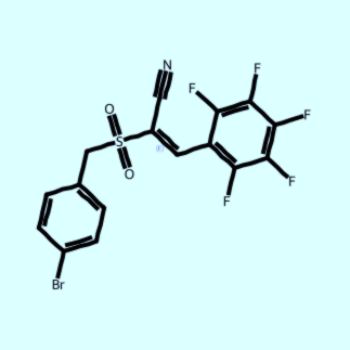 N#C/C(=C\c1c(F)c(F)c(F)c(F)c1F)S(=O)(=O)Cc1ccc(Br)cc1